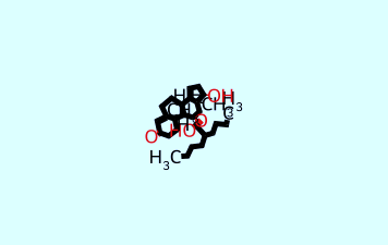 CCCCC(CCCC)C(=O)O.C[C@]12CC[C@H]3[C@@H](CCC4=CC(=O)CC[C@@]43C)[C@@H]1CC[C@@H]2O